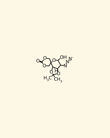 CC1(C)OC2C(N=[N+]=[N-])C(O)OC3(COC(=O)OC3)[C@@H]2O1